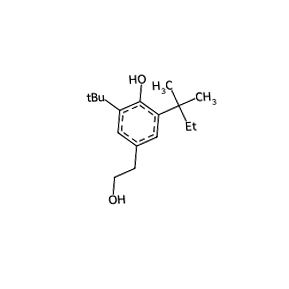 CCC(C)(C)c1cc(CCO)cc(C(C)(C)C)c1O